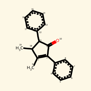 CC1=C(c2ccccc2)C(=O)C(c2ccccc2)C1C